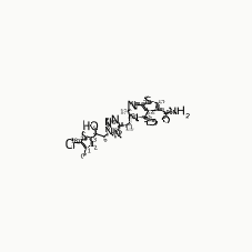 Cc1cc([C@@H](O)Cn2nnc(Cn3cnc4scc(C(N)=O)c4c3=O)n2)sc1Cl